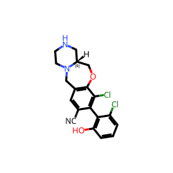 N#Cc1cc2c(c(Cl)c1-c1c(O)cccc1Cl)OC[C@H]1CNCCN1C2